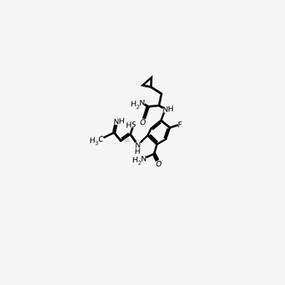 CC(=N)/C=C(\S)Nc1cc(NC(CC2CC2)C(N)=O)c(F)cc1C(N)=O